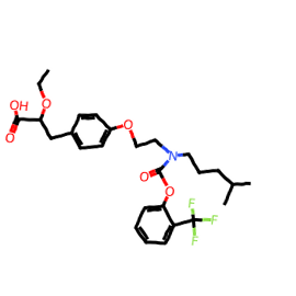 CCOC(Cc1ccc(OCCN(CCCC(C)C)C(=O)Oc2ccccc2C(F)(F)F)cc1)C(=O)O